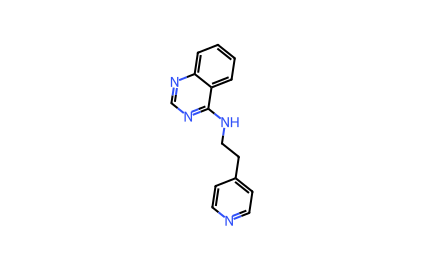 c1ccc2c(NCCc3ccncc3)ncnc2c1